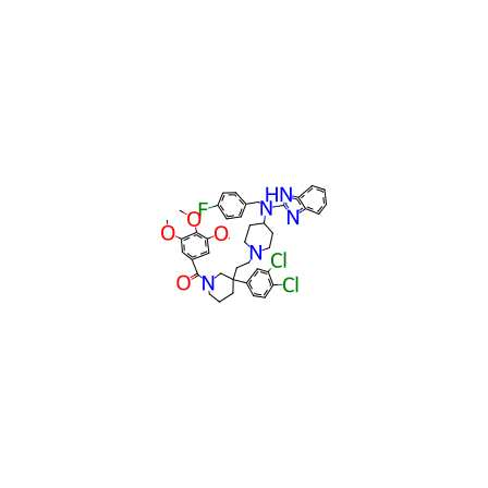 COc1cc(C(=O)N2CCCC(CCN3CCC(N(Cc4ccc(F)cc4)c4nc5ccccc5[nH]4)CC3)(c3ccc(Cl)c(Cl)c3)C2)cc(OC)c1OC